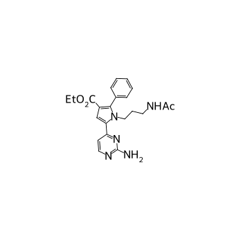 CCOC(=O)c1cc(-c2ccnc(N)n2)n(CCCNC(C)=O)c1-c1ccccc1